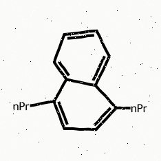 [CH2]CCc1ccc(CCC)c2ccccc12